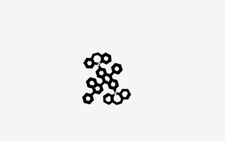 C1=CC2=C(CC1)CCC1=C(CCC=C1)N2c1ccc2c(-c3ccccc3)c3cc(N4c5ccccc5CCc5ccccc54)ccc3c(-c3ccc(-c4ccccc4)c4ccccc34)c2c1